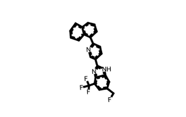 FCc1cc(C(F)(F)F)c2nc(-c3ccc(-c4cccc5ccccc45)nc3)[nH]c2c1